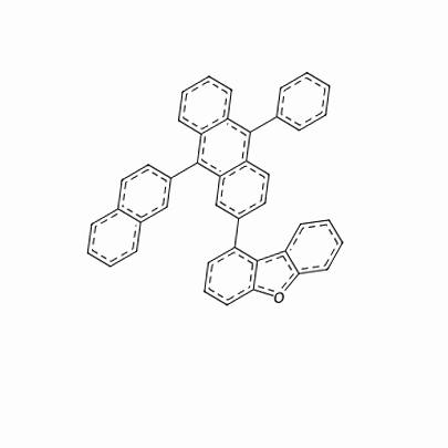 c1ccc(-c2c3ccccc3c(-c3ccc4ccccc4c3)c3cc(-c4cccc5oc6ccccc6c45)ccc23)cc1